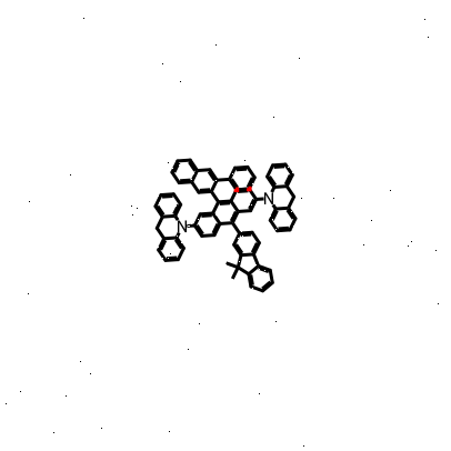 CC1(C)c2ccccc2-c2ccc(-c3c4cc(N5c6ccccc6Cc6ccccc65)ccc4c(-c4cc5ccccc5cc4-c4ccccc4)c4cc(N5c6ccccc6Cc6ccccc65)ccc34)cc21